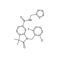 CC1(C)C(=O)N(Cc2c(F)cccc2Cl)c2cc(C(=O)NCc3cccs3)ccc21